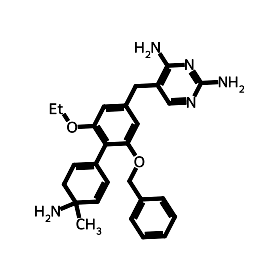 CCOc1cc(Cc2cnc(N)nc2N)cc(OCc2ccccc2)c1C1=CCC(C)(N)C=C1